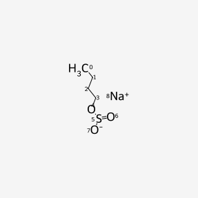 CCCCOS(=O)[O-].[Na+]